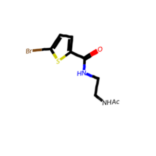 CC(=O)NCCNC(=O)c1ccc(Br)s1